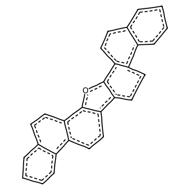 c1ccc2c(c1)ccc1c2ccc2c3ccc4c5ccccc5ccc4c3oc12